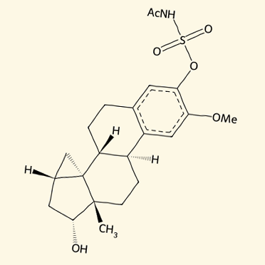 COc1cc2c(cc1OS(=O)(=O)NC(C)=O)CC[C@@H]1[C@@H]2CC[C@]2(C)[C@H](O)C[C@@H]3C[C@]312